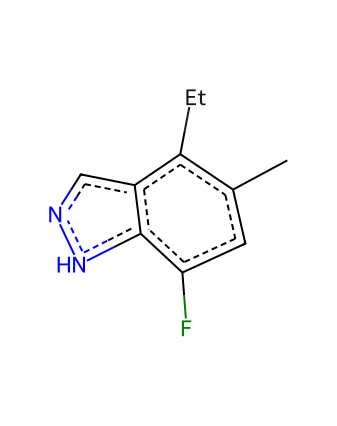 CCc1c(C)cc(F)c2[nH]ncc12